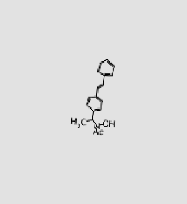 CC(=O)N(O)C(C)c1ccc(C=Cc2ccccc2)cc1